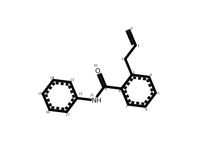 C=CCc1ccccc1C(=O)Nc1ccccc1